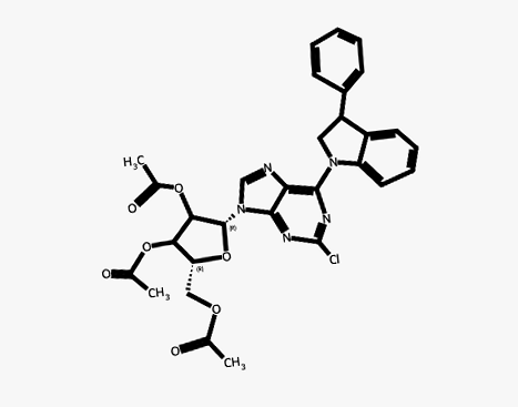 CC(=O)OC[C@H]1O[C@@H](n2cnc3c(N4CC(c5ccccc5)c5ccccc54)nc(Cl)nc32)C(OC(C)=O)C1OC(C)=O